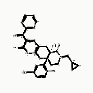 Cc1ccc(O)cc1C12CCN(CC3CC3)[C@H](C)[C@]1(O)Cc1cc(C(=O)c3ccccc3)c(=O)[nH]c1C2